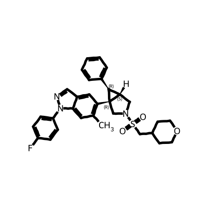 Cc1cc2c(cnn2-c2ccc(F)cc2)cc1[C@]12CN(S(=O)(=O)CC3CCOCC3)C[C@H]1[C@@H]2c1ccccc1